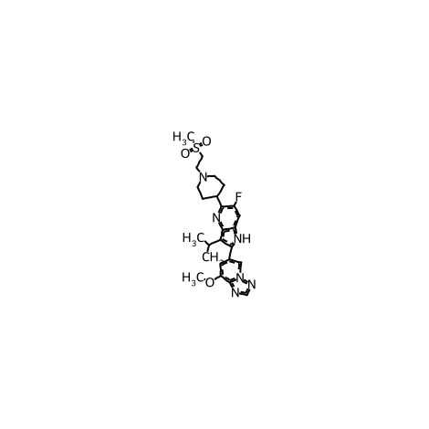 COc1cc(-c2[nH]c3cc(F)c(C4CCN(CCS(C)(=O)=O)CC4)nc3c2C(C)C)cn2ncnc12